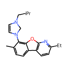 CCc1ccc2c(n1)oc1c(N3C=CN(CC(C)C)C3)c(C)ccc12